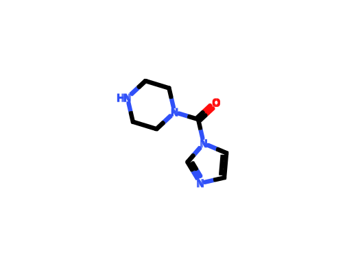 O=C(N1CCNCC1)n1ccnc1